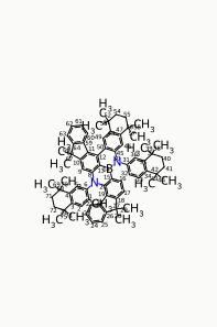 Cc1cc2c(cc1N1c3cc4c(c5c3B(c3ccc6c(c31)-c1ccccc1C6(C)C)N(c1ccc3c(c1)C(C)(C)CCC3(C)C)c1cc3c(cc1-5)C(C)(C)CCC3(C)C)-c1ccccc1C4(C)C)C(C)(C)CCC2(C)C